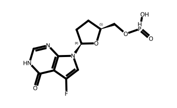 O=c1[nH]cnc2c1c(F)cn2[C@H]1CC[C@@H](CO[PH](=O)O)O1